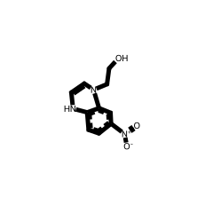 O=[N+]([O-])c1ccc2c(c1)N(CCO)C=CN2